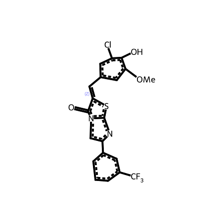 COc1cc(/C=c2\sc3nc(-c4cccc(C(F)(F)F)c4)cn3c2=O)cc(Cl)c1O